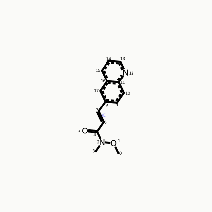 CON(C)C(=O)/C=C/c1ccc2ncccc2c1